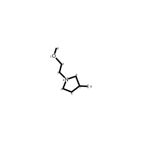 COCCN1CCC(I)C1